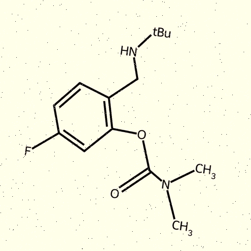 CN(C)C(=O)Oc1cc(F)ccc1CNC(C)(C)C